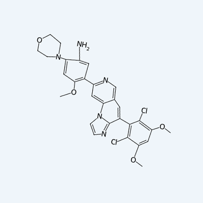 COc1cc(N2CCOCC2)c(N)cc1-c1cc2c(cn1)cc(-c1c(Cl)c(OC)cc(OC)c1Cl)c1nccn12